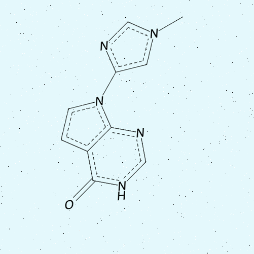 Cn1cnc(-n2ccc3c(=O)[nH]cnc32)c1